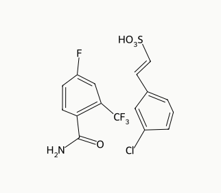 NC(=O)c1ccc(F)cc1C(F)(F)F.O=S(=O)(O)/C=C/c1cccc(Cl)c1